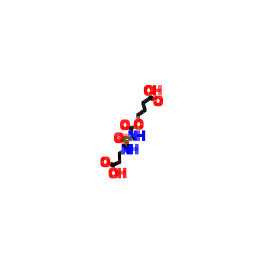 O=C(O)CCCOC(=O)N[S+]([O-])NCCC(=O)O